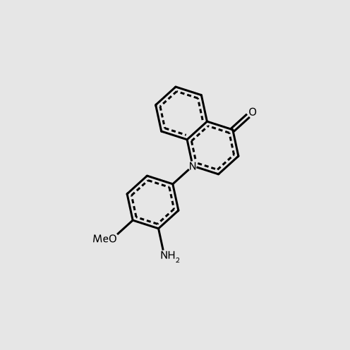 COc1ccc(-n2ccc(=O)c3ccccc32)cc1N